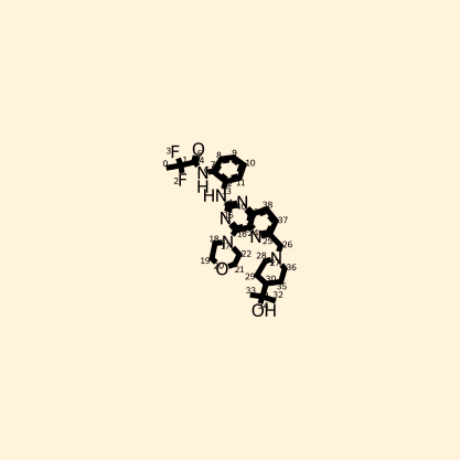 CC(F)(F)C(=O)Nc1ccccc1Nc1nc(N2CCOCC2)c2nc(CN3CCC(C(C)(C)O)CC3)ccc2n1